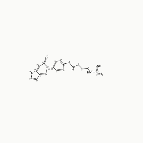 N=C(N)NCCCNCc1ccc(-n2cc3ccoc3nc2=O)cc1